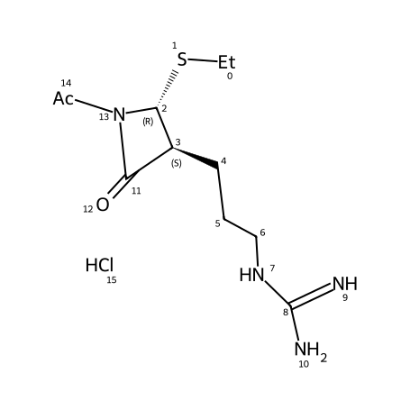 CCS[C@@H]1[C@@H](CCCNC(=N)N)C(=O)N1C(C)=O.Cl